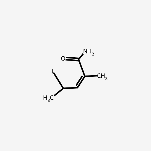 C/C(=C/C(C)I)C(N)=O